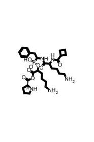 NCCCCC(NC(=O)C1CCC1)C(=O)NC(Cc1ccccc1)P(=O)(O)OC(CCCCN)C(=O)OC(=O)[C@@H]1CCCN1